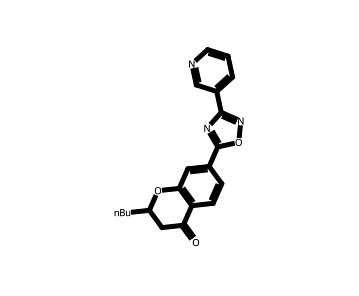 CCCCC1CC(=O)c2ccc(-c3nc(-c4cccnc4)no3)cc2O1